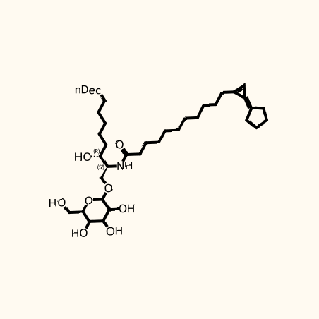 CCCCCCCCCCCCCCC[C@@H](O)[C@H](COC1OC(CO)C(O)C(O)C1O)NC(=O)CCCCCCCCCCC1=CC1=C1CCCC1